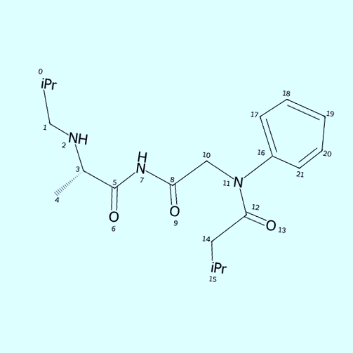 CC(C)CN[C@@H](C)C(=O)NC(=O)CN(C(=O)CC(C)C)c1ccccc1